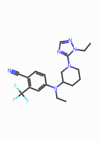 CCN(c1ccc(C#N)c(C(F)(F)F)c1)C1CCCN(c2ncnn2CC)C1